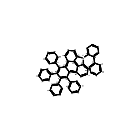 c1ccc(-c2ccccc2-n2c3cccc4c5c(-c6ccccc6)c(-c6ccccc6)c(-c6ccccc6)c(-c6ccccc6)c5c5cccc2c5c43)cc1